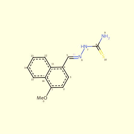 COc1ccc(/C=N/NC(N)=S)c2ccccc12